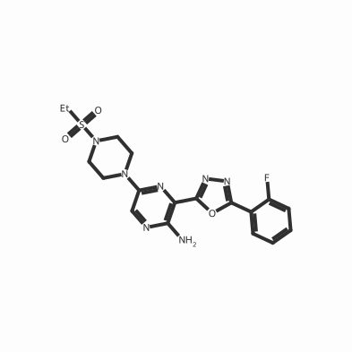 CCS(=O)(=O)N1CCN(c2cnc(N)c(-c3nnc(-c4ccccc4F)o3)n2)CC1